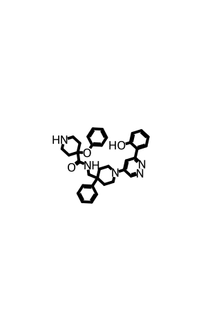 O=C(NCC1(c2ccccc2)CCN(c2cnnc(-c3ccccc3O)c2)CC1)C1(Oc2ccccc2)CCNCC1